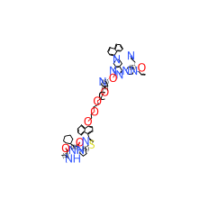 C=CC(=O)N1CCN(c2nc(OC[C@@H]3C[C@@H](OCCOCCOCCOc4ccc(-c5csc([C@@H]6CCCN6C(=O)[C@@H](NC(=O)[C@H](C)NC)C6CCCCC6)n5)c5ccccc45)CN3C)nc3c2CCN(c2cccc4ccccc24)C3)C[C@@H]1CC#N